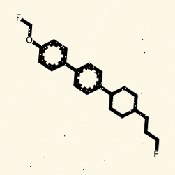 FCCCC1CCC(c2ccc(-c3ccc(OCF)cc3)cc2)CC1